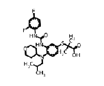 CC(C)CN(c1ccc(SC(C)(C)C(=O)O)cc1NC(=O)Nc1ccc(F)cc1F)C1CCOCC1